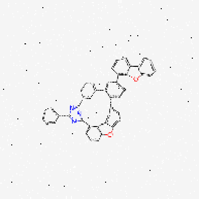 c1ccc(-c2nc3nc(n2)c2cccc4oc5ccc(cc5c42)c2ccc(-c4cccc5c4oc4ccccc45)cc2c2cccc3c2)cc1